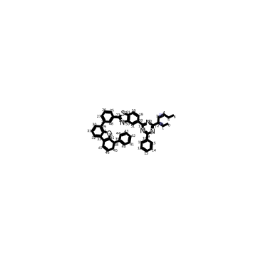 C/C=C(\C=C/CC)c1nc(-c2ccccc2)nc(-c2ccc3sc(-c4cccc(-c5cccc6c7c(oc56)C(c5ccccc5)CC=C7)c4)nc3c2)n1